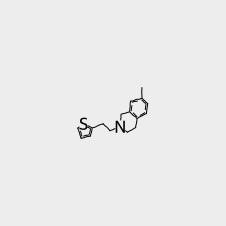 Cc1ccc2c(c1)CN(CCc1cccs1)CC2